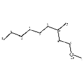 CCCCCCC(C)CCOC